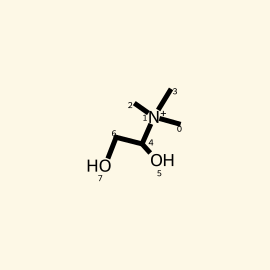 C[N+](C)(C)C(O)CO